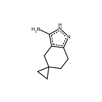 Nc1[nH]nc2c1CC1(CC2)CC1